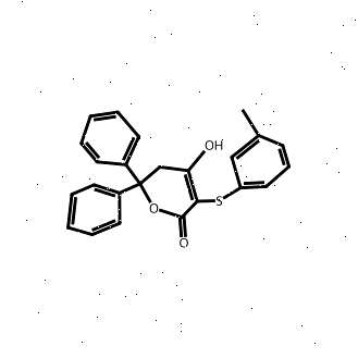 Cc1cccc(SC2=C(O)CC(c3ccccc3)(c3ccccc3)OC2=O)c1